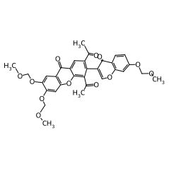 COCOc1ccc2c(=O)c(-c3c(C(C)=O)cc4c(=O)c5cc(OCOC)c(OCOC)cc5oc4c3C(C)=O)coc2c1